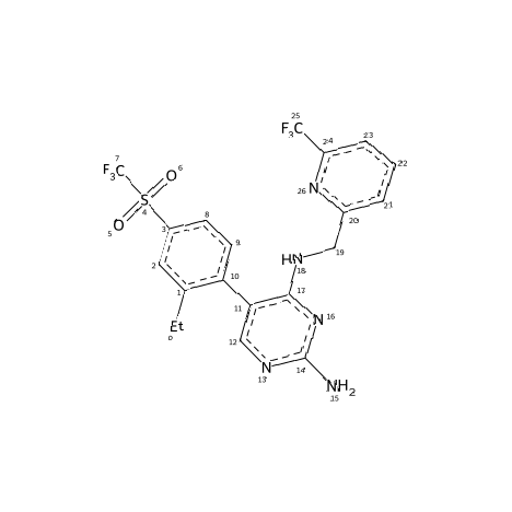 CCc1cc(S(=O)(=O)C(F)(F)F)ccc1-c1cnc(N)nc1NCc1cccc(C(F)(F)F)n1